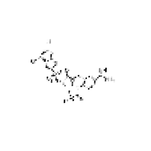 N=C(N)c1ccc(OC(=O)C(F)(F)F)c(CN2CC[C@H](NS(=O)(=O)c3cc4c(Cl)cc(Cl)cc4s3)C2=O)c1